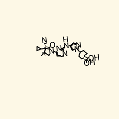 C[C@@H]1CN(c2ccnc(Nc3cnn(C4CCS(O)(O)CC4)c3)n2)C(=O)[C@]1(C#N)C1CC1